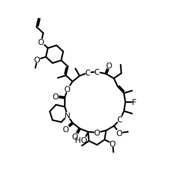 C=CCOC1CCC(C=C(C)C2OC(=O)C3CCCCN3C(=O)C(=O)C3(O)OC(C(OC)CC(C)C(F)/C(C)=C/C(CC)C(=O)CCC2C)C(OC)CC3C)CC1OC